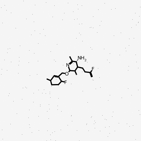 C=C(F)CCC1C(C)C(OCC2=CC(C)CCC2F)N=C(C)[C@@H]1N